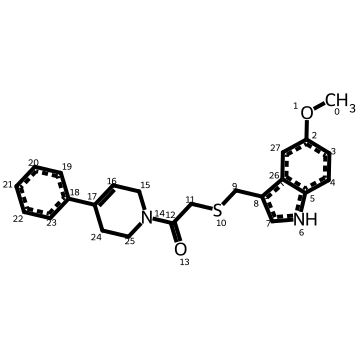 COc1ccc2[nH]cc(CSCC(=O)N3CC=C(c4ccccc4)CC3)c2c1